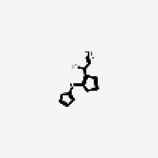 C=CC(O)C1=C(OC2=CC=CC2)CC=C1